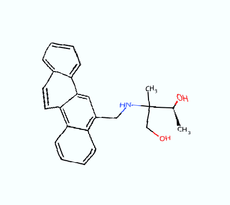 C[C@H](O)C(C)(CO)NCc1cc2c3ccccc3ccc2c2ccccc12